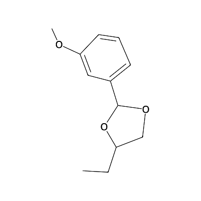 CCC1COC(c2cccc(OC)c2)O1